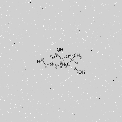 CC(C)(CCO)Oc1ccc(CO)cc1O